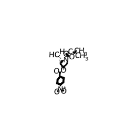 C#C[C@H]1C[C@@H](OC(=O)c2ccc([N+](=O)[O-])cc2)CN1C(=O)OC(C)(C)C